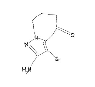 Nc1nn2c(c1Br)C(=O)CCC2